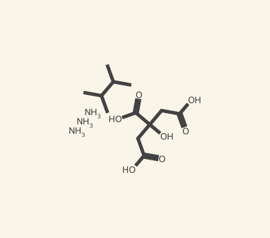 CC(C)C(C)C.N.N.N.O=C(O)CC(O)(CC(=O)O)C(=O)O